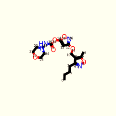 CCCCc1noc(C)c1COc1cc(OC(=O)NN2CCOCC2)on1